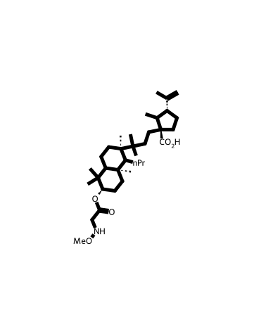 C=C(C)[C@@H]1CC[C@@](CCC(C)(C)[C@]2(C)CCC3C(C)(C)[C@@H](OC(=O)CNOC)CC[C@]3(C)C2CCC)(C(=O)O)C1C